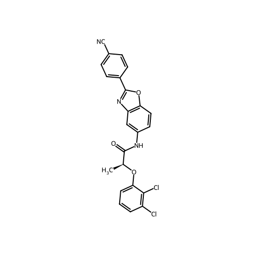 C[C@H](Oc1cccc(Cl)c1Cl)C(=O)Nc1ccc2oc(-c3ccc(C#N)cc3)nc2c1